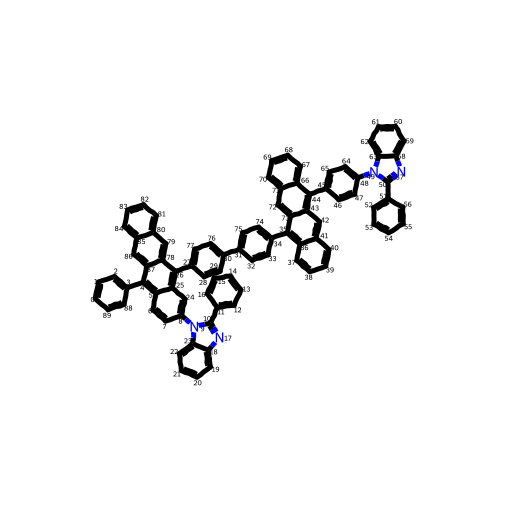 c1ccc(-c2c3ccc(-n4c(-c5ccccc5)nc5ccccc54)cc3c(-c3ccc(-c4ccc(-c5c6ccccc6cc6c(-c7ccc(-n8c(-c9ccccc9)nc9ccccc98)cc7)c7ccccc7cc56)cc4)cc3)c3cc4ccccc4cc23)cc1